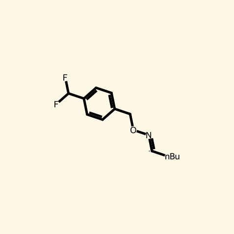 CCCC/[C]=N/OCc1ccc(C(F)F)cc1